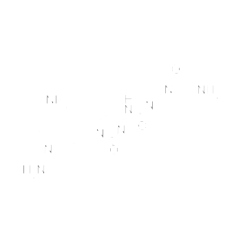 CC(C)(N)C(=O)N1CCN(C(=O)Nc2ccn(-c3ccc(C[C@H](N)N4CC5C(CN)C5C4)cc3)c(=O)n2)CC1